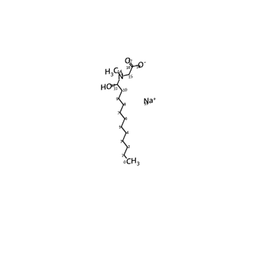 CCCCCCCCCCCC(O)N(C)CC(=O)[O-].[Na+]